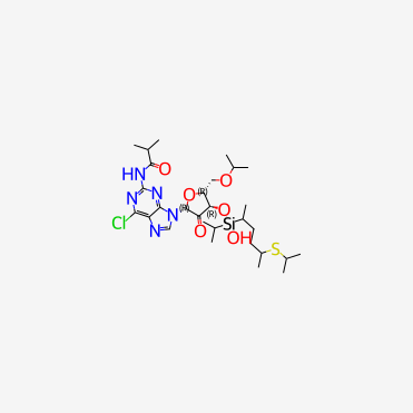 CC(C)OC[C@H]1O[C@@H](n2cnc3c(Cl)nc(NC(=O)C(C)C)nc32)C(=O)[C@@H]1O[Si](O)(C(C)C)C(C)CCC(C)SC(C)C